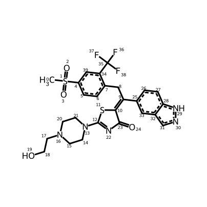 CS(=O)(=O)c1ccc(CC(=C2SC(N3CCN(CCO)CC3)=NC2=O)c2ccc3[nH]ncc3c2)c(C(F)(F)F)c1